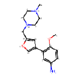 COc1ccc(N)cc1-c1coc(CN2CCN(C)CC2)c1